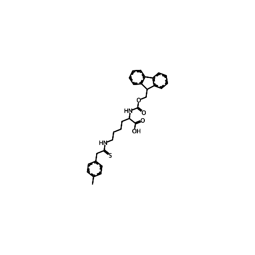 Cc1ccc(CC(=S)NCCCCC(NC(=O)OCC2c3ccccc3-c3ccccc32)C(=O)O)cc1